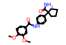 COc1ccc(C(=O)Nc2ccc(C3(C(N)=O)CCCC3)cc2)cc1OC